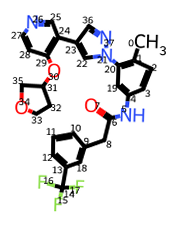 Cc1ccc(NC(=O)Cc2cccc(C(F)(F)F)c2)cc1-n1cc(-c2cnccc2OC2CCOC2)cn1